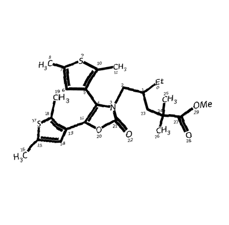 CCC(Cn1c(-c2cc(C)sc2C)c(-c2cc(C)sc2C)oc1=O)CC(C)(C)C(=O)OC